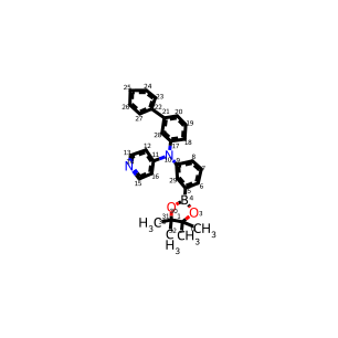 CC1(C)OB(c2cccc(N(c3ccncc3)c3cccc(-c4ccccc4)c3)c2)OC1(C)C